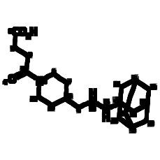 O=C(O)CCC(=O)N1CCC(CNNC23CC4CC(CC(C4)C2)C3)CC1